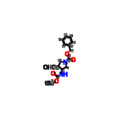 CC(C)(C)OC(=O)N[C@@H]1CN(C(=O)OCc2ccccc2)C[C@H]1C=O